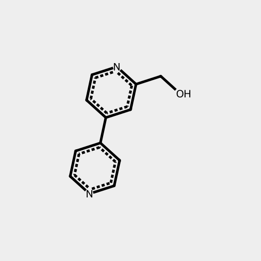 OCc1cc(-c2ccncc2)ccn1